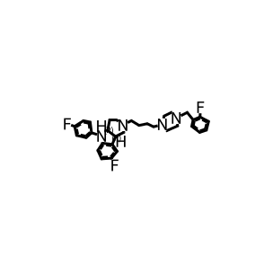 Fc1ccc(N2c3ccc(F)cc3[C@@H]3CN(CCCCN4CCN(Cc5ccccc5F)CC4)CC[C@H]32)cc1